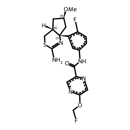 CO[C@@H]1C[C@H]2CSC(N)=N[C@@]2(c2cc(NC(=O)c3cnc(OCF)cn3)ccc2F)C1